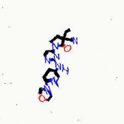 CCC1(C#N)CCN(c2ccnc(Nc3ccc(N4CCOCC4)nc3)n2)C1=O